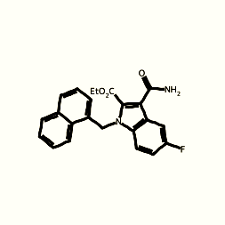 CCOC(=O)c1c(C(N)=O)c2cc(F)ccc2n1Cc1cccc2ccccc12